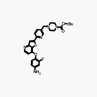 CC(C)(C)OC(=O)N1CCN(Cc2ccc(-c3cc4nccc(Oc5ccc(N)cc5F)c4s3)nc2)CC1